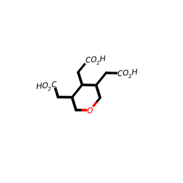 O=C(O)CC1COCC(CC(=O)O)C1CC(=O)O